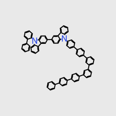 c1ccc(-c2ccc(-c3ccc(-c4cccc(-c5cccc(-c6ccc(-c7ccc(-n8c9ccccc9c9cc(-c%10ccc%11c(c%10)c%10ccccc%10n%11-c%10ccccc%10-c%10ccccc%10)ccc98)cc7)cc6)c5)c4)cc3)cc2)cc1